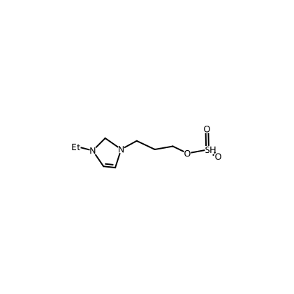 CCN1C=CN(CCCO[SH](=O)=O)C1